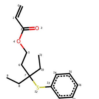 C=CC(=O)OCCC(CC)(CC)Sc1ccccc1